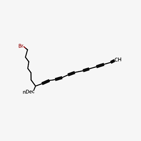 C#CC#CC#CC#CC#CC#CC(CCCCCCBr)CCCCCCCCCC